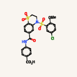 COc1ccc(Cl)cc1S(=O)(=O)N1CCS(=O)(=O)c2ccc(C(=O)Nc3ccc(C(=O)O)cc3)cc21